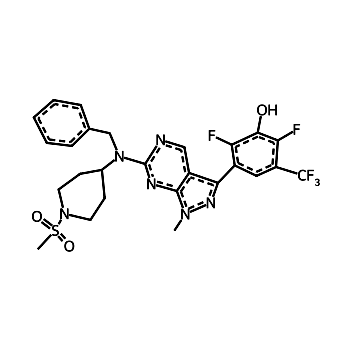 Cn1nc(-c2cc(C(F)(F)F)c(F)c(O)c2F)c2cnc(N(Cc3ccccc3)C3CCN(S(C)(=O)=O)CC3)nc21